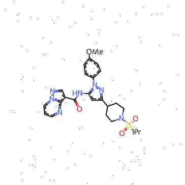 COc1ccc(-n2nc(C3CCN(S(=O)(=O)C(C)C)CC3)cc2NC(=O)c2cnn3cccnc23)cc1